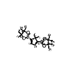 CC1(C)C(B2OC(C)(C)C(C)(C)O2)=CC=C1B1OC(C)(C)C(C)(C)O1